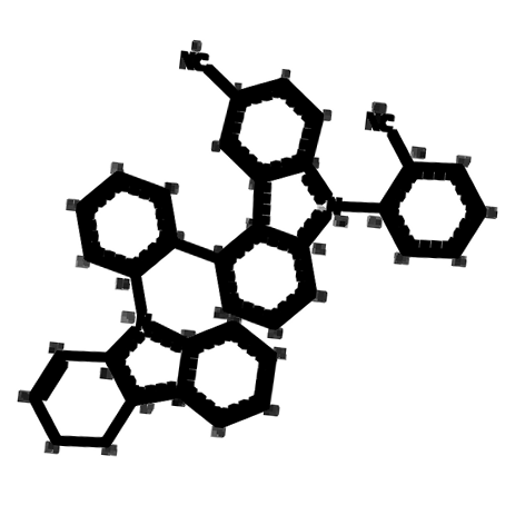 N#Cc1ccc2c(c1)c1c(-c3ccccc3-n3c4c(c5ccccc53)CCC=C4)cccc1n2-c1ccccc1C#N